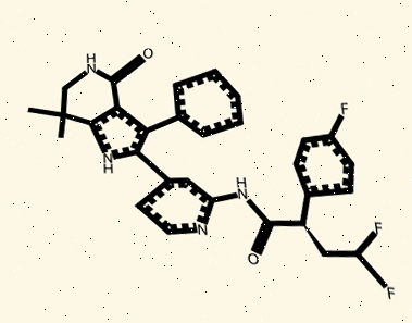 CC1(C)CNC(=O)c2c1[nH]c(-c1ccnc(NC(=O)[C@H](CC(F)F)c3ccc(F)cc3)c1)c2-c1ccccc1